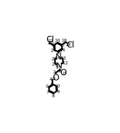 O=C(COCc1ccccc1)N1CCN(c2cc(CCl)cc(CCl)c2)CC1